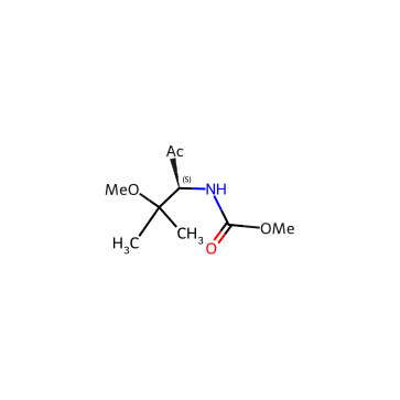 COC(=O)N[C@H](C(C)=O)C(C)(C)OC